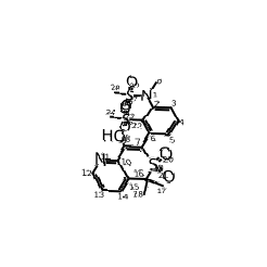 CN(c1cccc(C2=C(O)c3ncccc3C(C)(C)S2(=O)=O)c1S(C)(=O)=O)S(C)(=O)=O